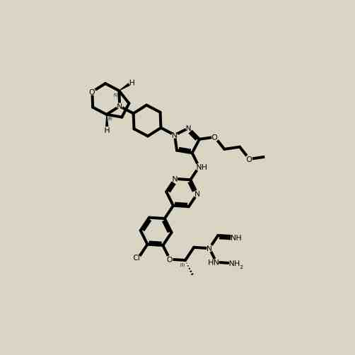 COCCOc1nn(C2CCC(N3[C@@H]4CC[C@H]3COC4)CC2)cc1Nc1ncc(-c2ccc(Cl)c(O[C@@H](C)CN(C=N)NN)c2)cn1